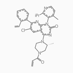 C=CC(=O)N1CCN(c2nc(=O)n(-c3c(C)ccnc3C(C)C)c3nc(-c4ccccc4C=C)c(Cl)cc23)[C@H](C)C1